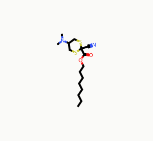 CCCCCCCCOC(=O)C1(C#N)SCC(N(C)C)CS1